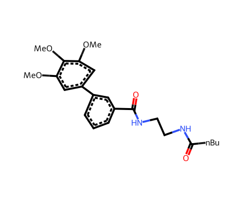 CCCCC(=O)NCCNC(=O)c1cccc(-c2cc(OC)c(OC)c(OC)c2)c1